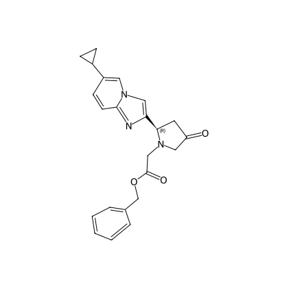 O=C1C[C@H](c2cn3cc(C4CC4)ccc3n2)N(CC(=O)OCc2ccccc2)C1